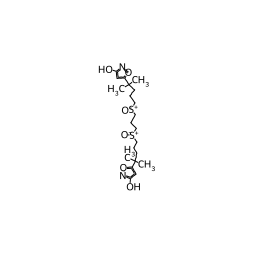 CC(C)(CCC[S+]([O-])CCC[S+]([O-])CCCC(C)(C)c1cc(O)no1)c1cc(O)no1